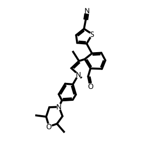 C/C(=C/N(C)c1ccc(N2CC(C)OC(C)C2)cc1)c1c(C=O)cccc1-c1ccc(C#N)s1